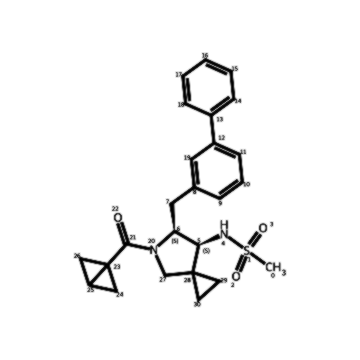 CS(=O)(=O)N[C@@H]1[C@H](Cc2cccc(-c3ccccc3)c2)N(C(=O)C23CC2C3)CC12CC2